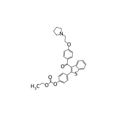 CCOC(=O)Oc1ccc(-c2sc3ccccc3c2C(=O)c2ccc(OCCN3CCCC3)cc2)cc1